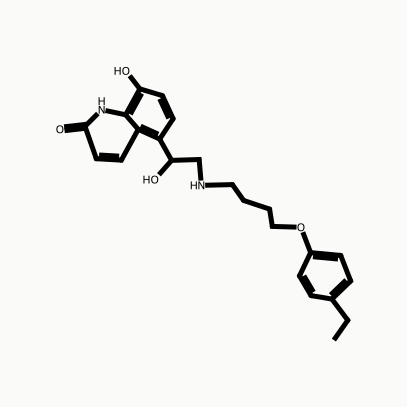 CCc1ccc(OCCCCNCC(O)c2ccc(O)c3[nH]c(=O)ccc23)cc1